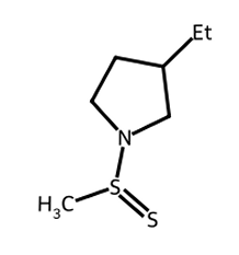 CCC1CCN(S(C)=S)C1